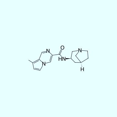 Cc1ccn2cc(C(=O)N[C@@H]3C[C@@H]4CCN(C4)C3)ncc12